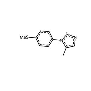 CSc1ccc(-n2nncc2C)cc1